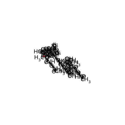 CC[C@H]1C[C@@H](C(=O)NCCOCCNC(C)=O)C[C@@H](O[C@@H]2O[C@H](CO)[C@H](O)[C@H](O[C@@H](CC3CCCCC3)C(=O)N3CCCCC3)[C@H]2NC(=O)COCCOCCOCCOCC(=O)N[C@@H]2C[C@@H](O)[C@@H](CO)O[C@H]2OC2C[C@H](C(=O)NCCOCCNC(C)=O)C[C@H](CC)[C@H]2O[C@@H]2O[C@@H](C)[C@@H](O)[C@@H](O)[C@@H]2O)[C@@H]1O[C@@H]1O[C@@H](C)[C@@H](O)C[C@@H]1O